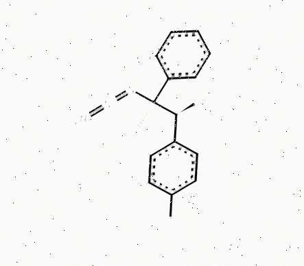 C[C@](N=[N+]=[N-])(c1ccccc1)[C@@H](O)c1ccc(Cl)cc1